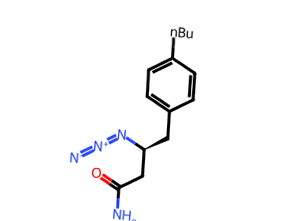 CCCCc1ccc(C[C@@H](CC(N)=O)N=[N+]=[N-])cc1